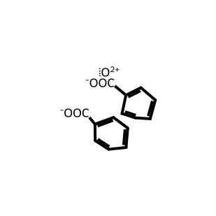 O=C([O-])c1ccccc1.O=C([O-])c1ccccc1.[O+2]